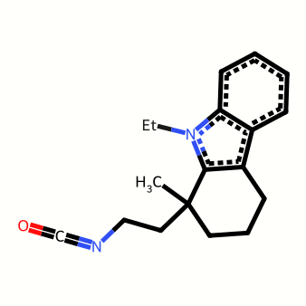 CCn1c2c(c3ccccc31)CCCC2(C)CCN=C=O